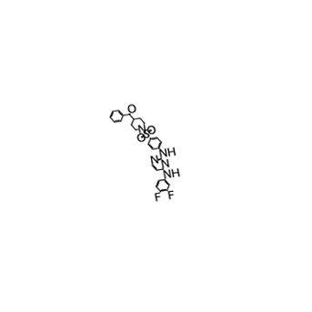 O=C(c1ccccc1)C1CCN(S(=O)(=O)c2ccc(Nc3nccc(Nc4ccc(F)c(F)c4)n3)cc2)CC1